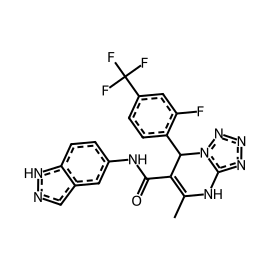 CC1=C(C(=O)Nc2ccc3[nH]ncc3c2)C(c2ccc(C(F)(F)F)cc2F)n2nnnc2N1